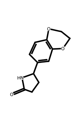 O=C1CCC(c2ccc3c(c2)OCCO3)N1